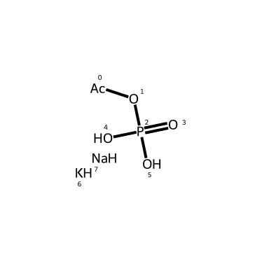 CC(=O)OP(=O)(O)O.[KH].[NaH]